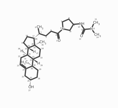 CC(CCC(=O)N1CCC(NC(=O)N(C)C)C1)[C@H]1CC[C@H]2[C@@H]3CC=C4C[C@@H](O)CC[C@]4(C)[C@H]3CC[C@]12C